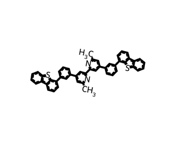 Cc1cc(-c2cccc(-c3cccc4c3sc3ccccc34)c2)cc(-c2cc(-c3cccc(-c4cccc5c4sc4ccccc45)c3)cc(C)n2)n1